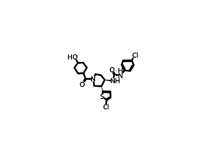 O=C(Nc1ccc(Cl)cc1)N[C@@H]1CCN(C(=O)C2CCC(O)CC2)C[C@H]1c1ccc(Cl)s1